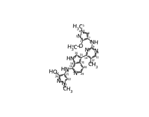 COc1nn(C)cc1Nc1ncc(C)c(-c2c[nH]c3c(Nc4cn(C)nc4O)nccc23)n1